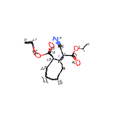 CCOC(=O)/C(C#N)=C1\CCCCC1C(=O)OCC